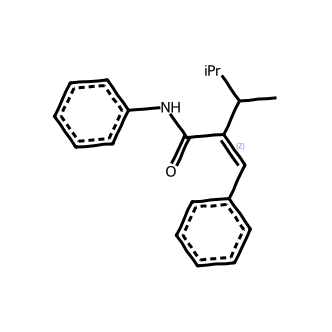 CC(C)C(C)/C(=C/c1ccccc1)C(=O)Nc1ccccc1